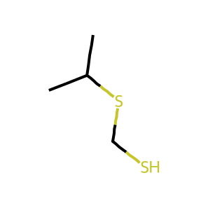 CC(C)SCS